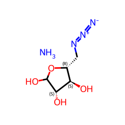 N.[N-]=[N+]=NC[C@H]1OC(O)[C@@H](O)[C@@H]1O